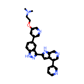 CN(C)CCOc1cncc(-c2ccc3[nH]nc(-c4cc5c(-c6cccnc6)cncc5[nH]4)c3c2)c1